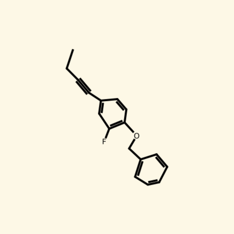 CCC#Cc1ccc(OCc2ccccc2)c(F)c1